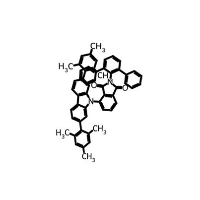 Cc1cc(C)c(-c2ccc3c4ccc(-c5c(C)cc(C)cc5C)cc4n(-c4cccc5c4C(=O)N(c4c(-c6ccccc6)cccc4-c4ccccc4)C5=O)c3c2)c(C)c1